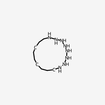 C1CCCCNNNNNNNNCCCC1